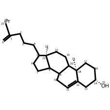 C=C(CCCC1CCC2C3CC=C4C[C@@H](O)CC[C@]4(C)C3CC[C@]12C)C(C)C